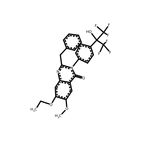 CCOc1cc2nc(Cc3ccccc3)n(-c3ccc(C(O)(C(F)(F)F)C(F)(F)F)cc3)c(=O)c2cc1OC